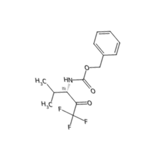 CC(C)[C@H](NC(=O)OCc1ccccc1)C(=O)C(F)(F)F